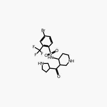 O=C(C1CCNC1)C1CNCCC1NS(=O)(=O)c1ccc(Br)cc1C(F)(F)F